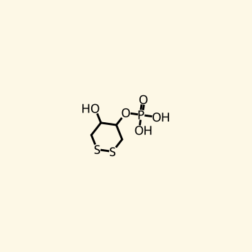 O=P(O)(O)OC1CSSCC1O